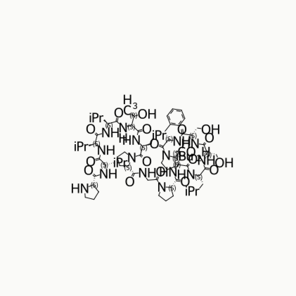 CC[C@H](C)[C@H](NC(=O)[C@@H]1CCCN1C(=O)CNC(=O)[C@@H]1CCCN1C(=O)[C@H](CC(C)C)NC(=O)[C@@H](NC(=O)[C@@H](NC(=O)[C@@H](NC(=O)[C@@H](NC(=O)[C@@H]1CCCN1)C(C)C)C(C)C)C(C)C)[C@@H](C)O)C(=O)N[C@@H](CC(C)C)C(=O)N[C@@H](CO)C(=O)N[C@@H](CO)C(=O)N[C@@H](Cc1ccccc1)C(=O)N1CCC[C@H]1C(=O)O